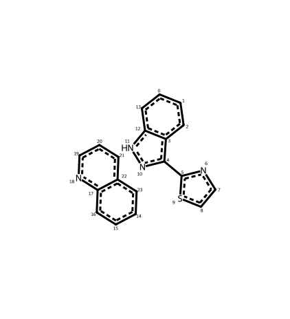 c1ccc2c(-c3nccs3)n[nH]c2c1.c1ccc2ncccc2c1